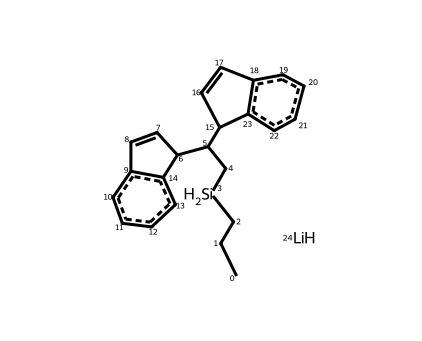 CCC[SiH2]CC(C1C=Cc2ccccc21)C1C=Cc2ccccc21.[LiH]